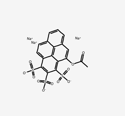 CC(=O)Oc1cc2cccc3ccc4c(S(=O)(=O)[O-])c(S(=O)(=O)[O-])c(S(=O)(=O)[O-])c1c4c32.[Na+].[Na+].[Na+]